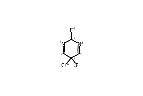 FC1N=CC(F)(Cl)C=N1